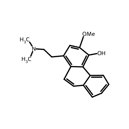 COc1cc(CCN(C)C)c2ccc3ccccc3c2c1O